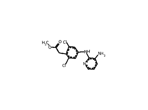 COC(=O)Cc1c(Cl)cc(Nc2ncccc2N)cc1Cl